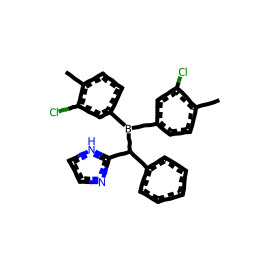 Cc1ccc(B(c2ccc(C)c(Cl)c2)C(c2ccccc2)c2ncc[nH]2)cc1Cl